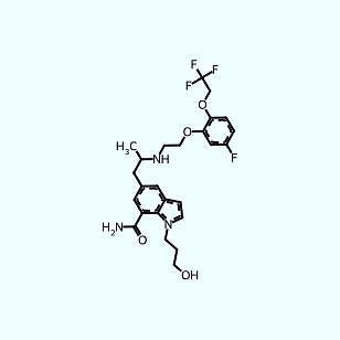 CC(Cc1cc(C(N)=O)c2c(ccn2CCCO)c1)NCCOc1cc(F)ccc1OCC(F)(F)F